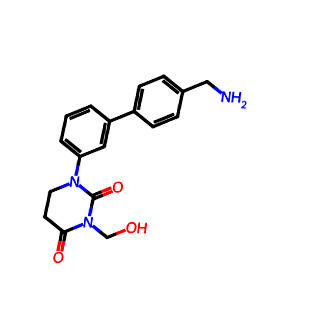 NCc1ccc(-c2cccc(N3CCC(=O)N(CO)C3=O)c2)cc1